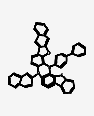 c1ccc(-c2ccc(N(c3c(N(c4ccccc4)c4ccc5ccccc5c4)ccc4c3oc3cc5ccccc5cc34)c3cccc4c3sc3ccccc34)cc2)cc1